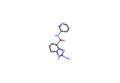 Nc1nc2c(C(=O)Nc3cccnc3)cccc2[nH]1